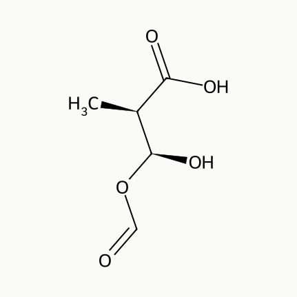 C[C@@H](C(=O)O)[C@@H](O)OC=O